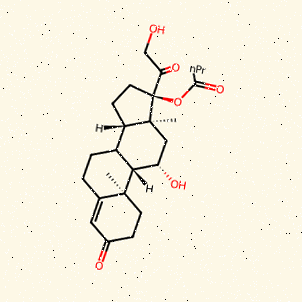 CCCC(=O)O[C@]1(C(=O)CO)CC[C@H]2C3CCC4=CC(=O)CC[C@]4(C)[C@H]3[C@@H](O)C[C@@]21C